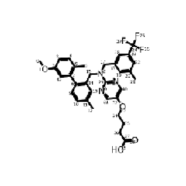 COc1ccc(C)c(-c2ccc(C)cc2CN(Cc2cc(C)cc(C(F)(F)F)c2)c2ncc(OCCCC(=O)O)cn2)c1